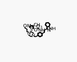 COCCCN1CCN(Cc2ccc(/C=C/c3n[nH]c4ccccc34)c(NC(=O)Oc3sccc3C)c2)CC1